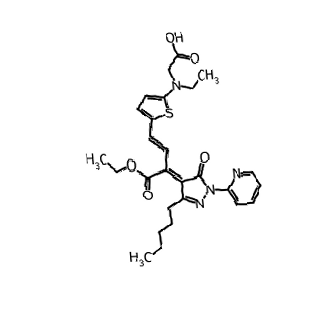 CCCCCC1=NN(c2ccccn2)C(=O)/C1=C(\C=C\c1ccc(N(CC)CC(=O)O)s1)C(=O)OCC